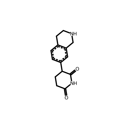 O=C1CCC(c2ccc3c(c2)CNCC3)C(=O)N1